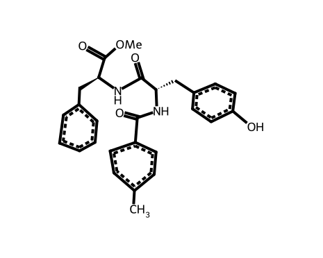 COC(=O)[C@H](Cc1ccccc1)NC(=O)[C@H](Cc1ccc(O)cc1)NC(=O)c1ccc(C)cc1